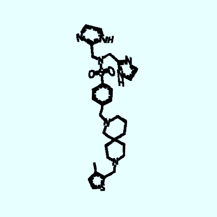 Cc1ccsc1CN1CCC2(CCCN(Cc3ccc(S(=O)(=O)N(Cc4ncc[nH]4)Cc4ncc[nH]4)cc3)C2)CC1